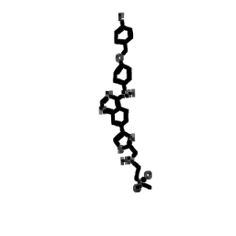 CS(=O)(=O)CCNCc1nc(-c2ccc3c(Nc4ccc(OCc5ccc(F)cc5)cc4)ncnc3c2)cs1